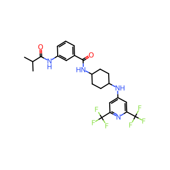 CC(C)C(=O)Nc1cccc(C(=O)NC2CCC(Nc3cc(C(F)(F)F)nc(C(F)(F)F)c3)CC2)c1